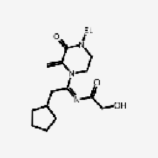 C=C1C(=O)N(CC)CCN1/C(CC1CCCC1)=N\C(=O)CO